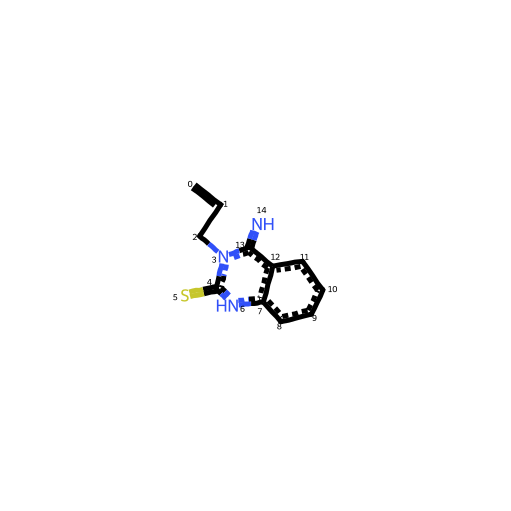 C=CCn1c(=S)[nH]c2ccccc2c1=N